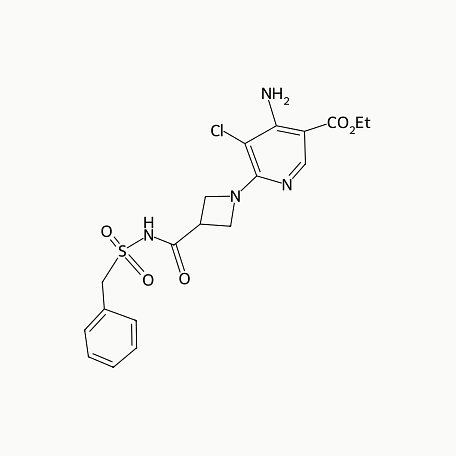 CCOC(=O)c1cnc(N2CC(C(=O)NS(=O)(=O)Cc3ccccc3)C2)c(Cl)c1N